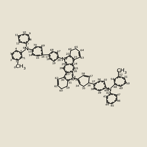 Cc1cccc(N(c2ccccc2)c2ccc(-c3ccc(-n4c5c(c6cc7c(cc64)c4c(n7C6=CCC(c7ccc(N(c8ccccc8)c8cccc(C)c8)cc7)C=C6)CCC=C4)C=CCC5)cc3)cc2)c1